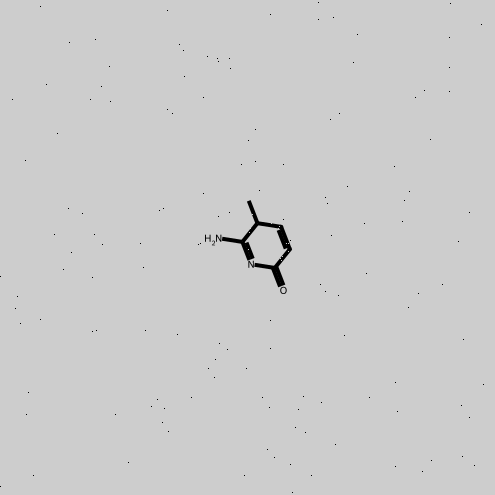 CC1C=CC(=O)N=C1N